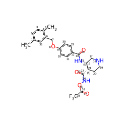 Cc1ccc(C)c(COc2ccc(C(=O)N[C@@H]3CNCC[C@@H]3C(=O)NOC(=O)C(F)(F)F)cc2)c1